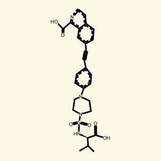 CC(C)[C@@H](NS(=O)(=O)N1CCN(c2ccc(C#Cc3ccc4ccnc(C(=O)O)c4c3)cc2)CC1)C(=O)O